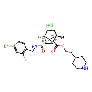 Cl.O=C(OCCC1CCNCC1)[C@H]1[C@H](C(=O)NCc2ccc(Br)cc2F)[C@@H]2CC[C@H]1C21CC1